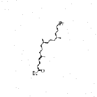 CCC(=O)CC/C=C(\C)CCCC(C)CCCC(C)CCCC(C)C